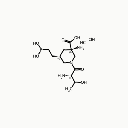 CC(O)[C@H](N)C(=O)N1C[C@@H](CCB(O)O)C[C@](N)(C(=O)O)C1.Cl.Cl